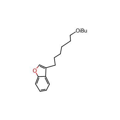 [CH2]C(C)COCCCCCCc1coc2ccccc12